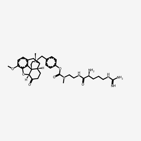 COc1ccc2c3c1O[C@H]1C(=O)CC[C@H]4C(C2)[N@@+](C)(Cc2ccc(OC(=O)N(C)CCNC(=O)[C@@H](N)CCCNC(=N)N)cc2)CC[C@]314